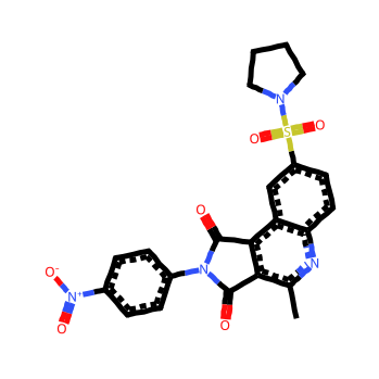 Cc1nc2ccc(S(=O)(=O)N3CCCC3)cc2c2c1C(=O)N(c1ccc([N+](=O)[O-])cc1)C2=O